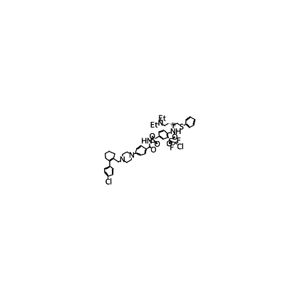 CCN(CC)CC[C@H](CSc1ccccc1)Nc1ccc(S(=O)(=O)NC(=O)c2ccc(N3CCN(CC4=C(c5ccc(Cl)cc5)CCCC4)CC3)cc2)cc1S(=O)(=O)C(F)(F)Cl